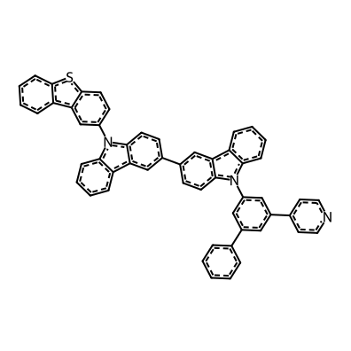 c1ccc(-c2cc(-c3ccncc3)cc(-n3c4ccccc4c4cc(-c5ccc6c(c5)c5ccccc5n6-c5ccc6sc7ccccc7c6c5)ccc43)c2)cc1